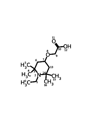 CCN1C(C)(C)CC(OCC(=O)O)CC1(C)C